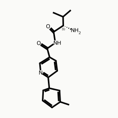 Cc1cccc(-c2ccc(C(=O)NC(=O)[C@@H](N)C(C)C)cn2)c1